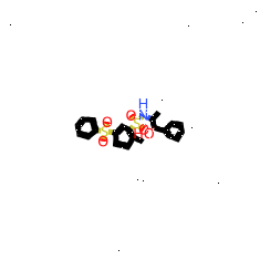 Cc1ccc(S(=O)(=O)c2ccccc2)cc1S(=O)(=O)NC(C)C(O)c1ccccc1